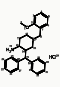 COc1ccccc1CN1CCC(N)C(C(c2ccccc2)c2ccccc2)C1.Cl